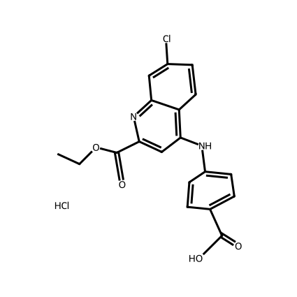 CCOC(=O)c1cc(Nc2ccc(C(=O)O)cc2)c2ccc(Cl)cc2n1.Cl